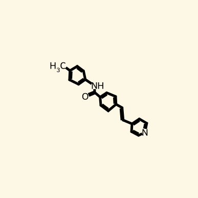 Cc1ccc(NC(=O)c2ccc(/C=C/c3ccncc3)cc2)cc1